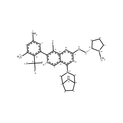 Cc1cc(N)nc(-c2ncc3c(N4CC5CCC(C4)N5)nc(OC[C@@H]4CCCN4C)nc3c2F)c1C(F)(F)F